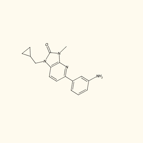 Cn1c(=O)n(CC2CC2)c2ccc(-c3cccc(N)c3)nc21